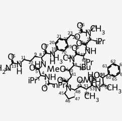 CCCC(=O)N[C@H](C(=O)N[C@@H](CCCNC(N)=O)C(=O)Nc1ccc(COC(=O)N(C)[C@H](C(=O)N[C@H](C(=O)N(C)[C@@H](C(C)CC)[C@@H](CC(=O)N2CCC[C@H]2[C@H](OC)[C@@H](C)C(=O)N[C@H](C)C(O)c2ccccc2)OC)C(C)C)C(C)C)cc1)C(C)C